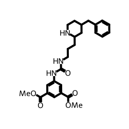 COC(=O)c1cc(NC(=O)NCCCC2CC(Cc3ccccc3)CCN2)cc(C(=O)OC)c1